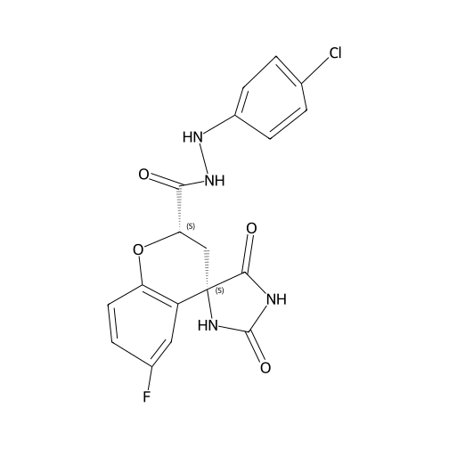 O=C1NC(=O)[C@@]2(C[C@@H](C(=O)NNc3ccc(Cl)cc3)Oc3ccc(F)cc32)N1